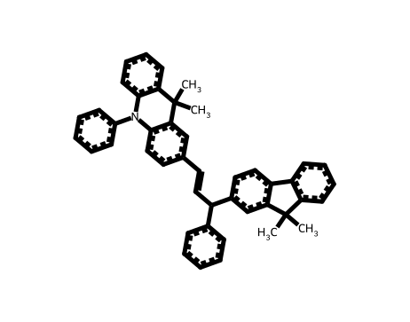 CC1(C)c2ccccc2-c2ccc(C(/C=C/c3ccc4c(c3)C(C)(C)c3ccccc3N4c3ccccc3)c3ccccc3)cc21